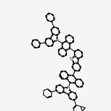 c1ccc2c(-c3ccc4c(c3)oc3c(-c5c6ccccc6c(-n6c7ccc(-c8ccccc8)cc7c7cc(-c8ccccc8)ccc76)c6ccccc56)cccc34)c3ccccc3c(-n3c4ccc(C5=CCCC=C5)cc4c4cc(C5=CC=CC6CC56)ccc43)c2c#1